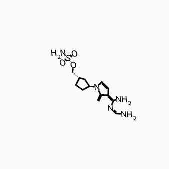 C=c1/c(=C(N)\N=C/N)ccn1[C@H]1CC[C@H](COS(N)(=O)=O)C1